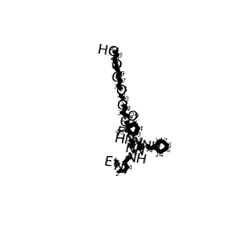 CCN1CCCC1CNc1nc(NCC2CCCCC2)nc(Nc2cccc(OC(=O)CCOCCOCCOCCOCCO)c2F)n1